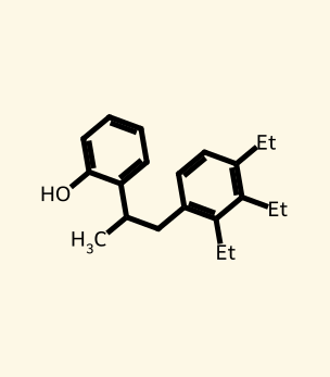 CCc1ccc(CC(C)c2ccccc2O)c(CC)c1CC